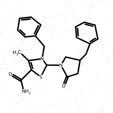 CC1=C(C(N)=O)SC(N2CC(Cc3ccccc3)CC2=O)N1Cc1ccccc1